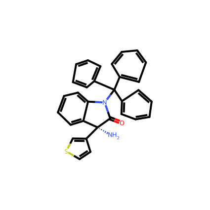 N[C@@]1(c2ccsc2)C(=O)N(C(c2ccccc2)(c2ccccc2)c2ccccc2)c2ccccc21